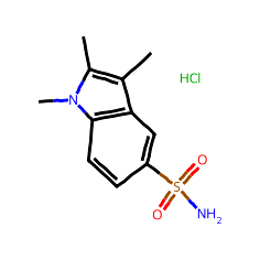 Cc1c(C)n(C)c2ccc(S(N)(=O)=O)cc12.Cl